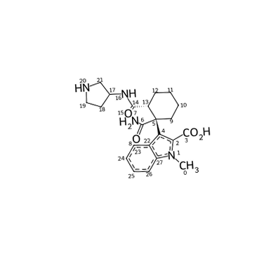 Cn1c(C(=O)O)c([C@]2(C(N)=O)CCCC[C@H]2C(=O)NC2CCNC2)c2ccccc21